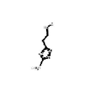 CCOC(=O)c1nnc(CCNCl)o1